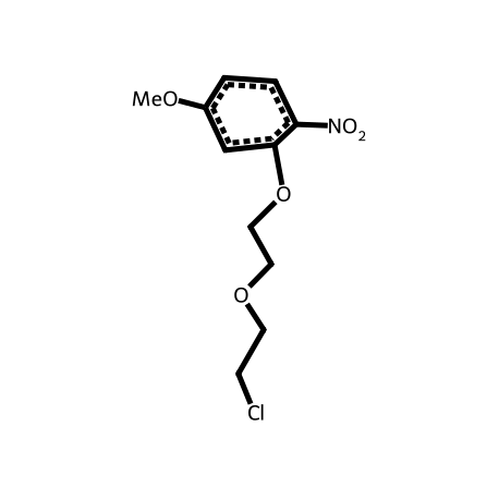 COc1ccc([N+](=O)[O-])c(OCCOCCCl)c1